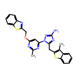 Cc1nc(OCc2nc3ccccc3s2)cc(-n2nc(N)nc2Cc2sc3ccccc3c2C)n1